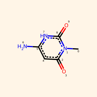 Cn1c(=O)cc(N)[nH]c1=O